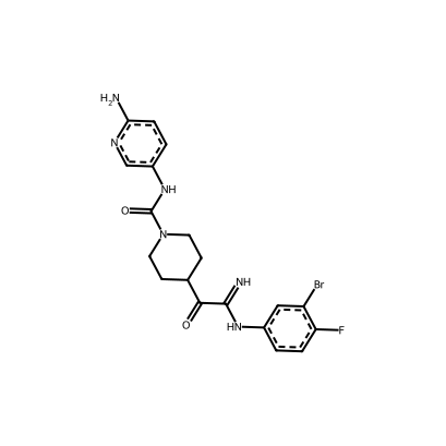 N=C(Nc1ccc(F)c(Br)c1)C(=O)C1CCN(C(=O)Nc2ccc(N)nc2)CC1